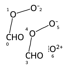 O=CO[O-].O=CO[O-].[O+2]